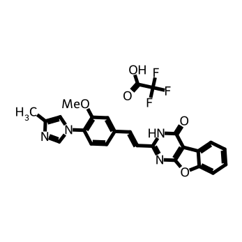 COc1cc(/C=C/c2nc3oc4ccccc4c3c(=O)[nH]2)ccc1-n1cnc(C)c1.O=C(O)C(F)(F)F